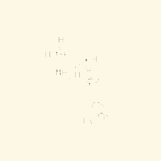 CC(C)(CCOC(C)(O)CCN)OCC(=O)OCCc1ccc(O)c(O)c1